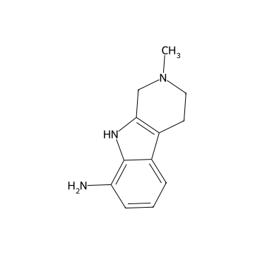 CN1CCc2c([nH]c3c(N)cccc23)C1